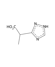 CC(C(=O)O)c1nc[nH]n1